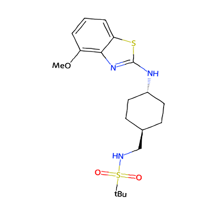 COc1cccc2sc(N[C@H]3CC[C@H](CNS(=O)(=O)C(C)(C)C)CC3)nc12